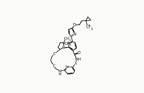 CC1(C)CCC2CCCCCNc3cccc(n3)SNC(=O)c3ccc(-n4ccc(OCCC5(C(F)(F)F)CC5)n4)nc3N21